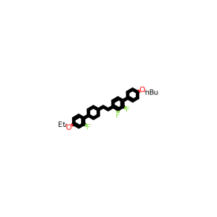 CCCCOC1CC=C(c2ccc(CCC3CCC(c4ccc(OCC)cc4F)CC3)c(F)c2F)CC1